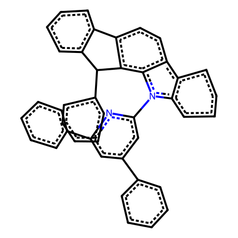 c1ccc(-c2cc(-c3ccccc3)nc(-n3c4ccccc4c4ccc5c(c43)C(c3ccccc3)c3ccccc3-5)c2)cc1